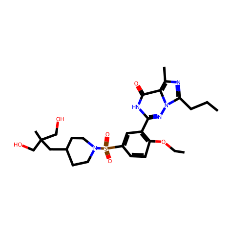 CCCc1nc(C)c2c(=O)[nH]c(-c3cc(S(=O)(=O)N4CCC(CC(C)(CO)CO)CC4)ccc3OCC)nn12